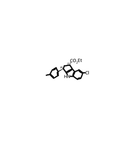 CCOC(=O)[C@H]1C[C@H](c2ccc(C)cc2)c2[nH]c3ccc(Cl)cc3c21